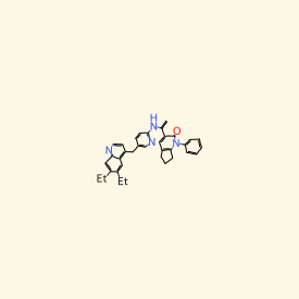 C=C(Nc1ccc(Cc2ccnc3cc(CC)c(CC)cc23)cn1)c1cc2c(n(-c3ccccc3)c1=O)CCC2